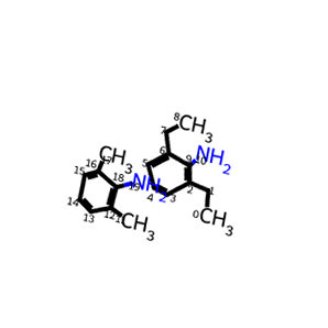 CCc1cccc(CC)c1N.Cc1cccc(C)c1N